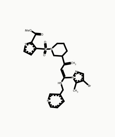 C=C(/C=C(/NCc1cccnc1)n1ncc(Br)c1C)C1CCCN(S(=O)(=O)c2ccsc2C(=O)OC)C1